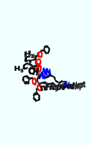 CCCCCCCCCCCCCC[C@@H](OCc1ccccc1)[C@@H](OCc1ccccc1)[C@H](COC1OC(COCc2ccccc2)C(C)C(C)C1C)n1cc(CCCCCN(CCCCCCC)CCCCCCC)nn1